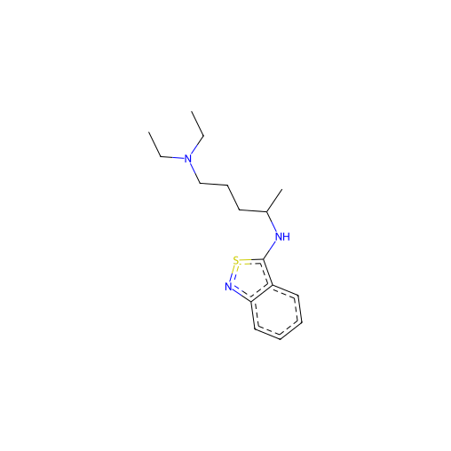 CCN(CC)CCCC(C)Nc1snc2ccccc12